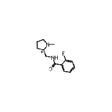 CN1CCC[C@@H]1CNC(=O)c1ccccc1F